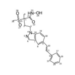 CC(CCn1ncc2cc(C=Cc3ccccc3)ccc21)(C(=O)NO)S(C)(=O)=O